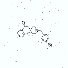 O=C1CC2(CCN(Cc3ccc(Br)cc3)CC2)Oc2ccccc21